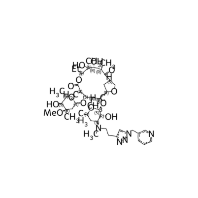 CC[C@H]1OC(=O)[C@H](C)[C@@H](O[C@H]2C[C@@](C)(OC)[C@@H](O)[C@H](C)O2)[C@H](C)[C@@H](O[C@@H]2O[C@H](C)C[C@H](N(C)CCc3cn(Cc4cccnc4)nn3)[C@H]2O)[C@@]2(C)C[C@@H](CO2)C(=O)[C@H](C)[C@@H](O)[C@]1(C)O